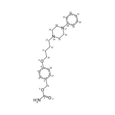 NC(=O)OCc1ccc(OCCCCN2CCN(c3ccccc3)CC2)cc1